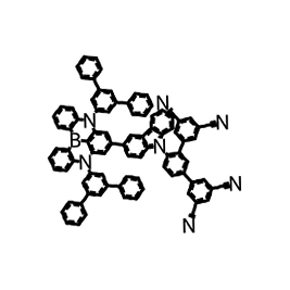 N#Cc1cc(C#N)cc(-c2ccc(-n3c4ccccc4c4cc(-c5cc6c7c(c5)N(c5cc(-c8ccccc8)cc(-c8ccccc8)c5)c5ccccc5B7c5ccccc5N6c5cc(-c6ccccc6)cc(-c6ccccc6)c5)ccc43)c(-c3cc(C#N)cc(C#N)c3)c2)c1